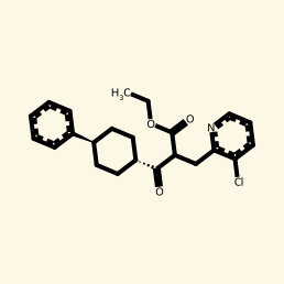 CCOC(=O)C(Cc1ncccc1Cl)C(=O)[C@H]1CC[C@H](c2ccccc2)CC1